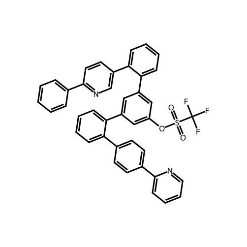 O=S(=O)(Oc1cc(-c2ccccc2-c2ccc(-c3ccccn3)cc2)cc(-c2ccccc2-c2ccc(-c3ccccc3)nc2)c1)C(F)(F)F